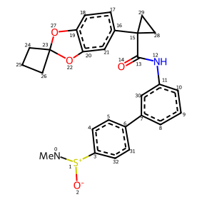 CN[S+]([O-])c1ccc(-c2cccc(NC(=O)C3(c4ccc5c(c4)OC4(CCC4)O5)CC3)c2)cc1